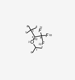 CC(C)O[C@@H](C(C)(C)C)C(F)(F)F